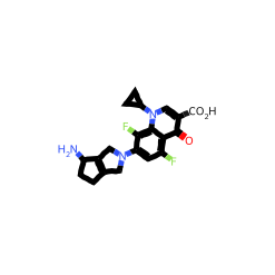 NC1CCC2=C1CN(c1cc(F)c3c(=O)c(C(=O)O)cn(C4CC4)c3c1F)C2